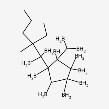 BC1C(B)(B)C(B)(B)C(B)(C(B)B)C1(B)C(B)(B)C(C)(CC)CCC